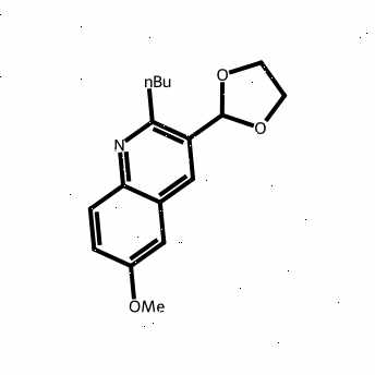 CCCCc1nc2ccc(OC)cc2cc1C1OCCO1